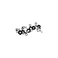 CCn1nccc1Nc1ccc2c(c1)C(=O)CC1(CCN(C(=O)c3cc(OC)c4cc(OC)ccc4n3)CC1)O2